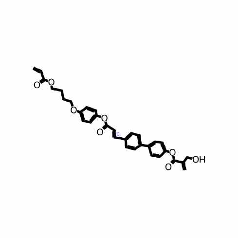 C=CC(=O)OCCCCOc1ccc(OC(=O)/C=C/c2ccc(-c3ccc(OC(=O)C(=C)CO)cc3)cc2)cc1